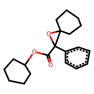 O=C(OC1CCCCC1)C1(c2ccccc2)OC12CCCCC2